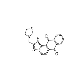 O=C1c2ccccc2C(=O)c2c1ccc1nc(CN3CCSC3)[nH]c21